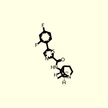 C[C@H]1[C@H](NC(=O)c2ncc(-c3ccc(F)cc3F)s2)C2CCN1CC2